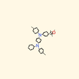 CO[Si](C)(C)c1ccc(N(c2ccc(C)cc2)c2ccc(N(c3ccccc3)c3ccc(C)cc3)cc2)cc1